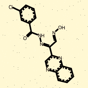 O=C(N/N=C(\C=N\O)c1cnc2ccccc2n1)c1cccc(Cl)c1